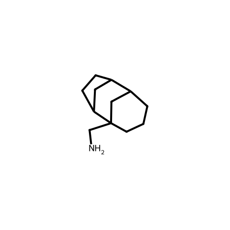 NCC12CCCC(C1)C1CCC2C1